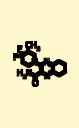 CC1CN(c2nc3c(nc2C(N)=O)CCCC3)CCC1(F)F